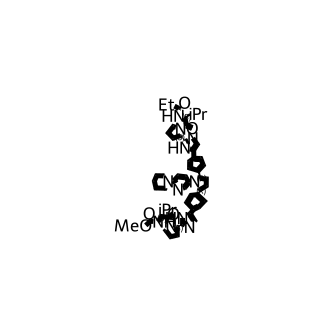 CCC(=O)N[C@H](C(=O)N1CCC[C@H]1c1ncc(-c2ccc([C@H]3CC[C@H](c4ccc(-c5cnc([C@@H]6CCCN6C(=O)[C@@H](NC(=O)OC)C(C)C)[nH]5)cc4)N3c3ccc(N4CCCCC4)nc3)cc2)[nH]1)C(C)C